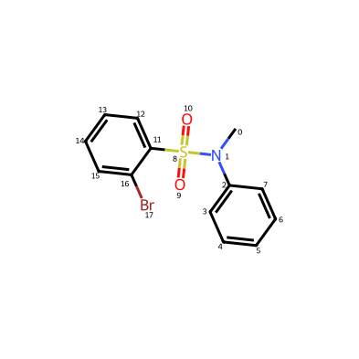 CN(c1ccccc1)S(=O)(=O)c1ccccc1Br